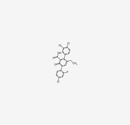 CCn1cc(-c2ccc(Cl)cc2F)c(=O)c(C(=O)O)c1-c1ccc(Cl)c(Cl)c1